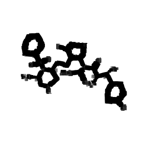 COC(=O)N(C(=O)[C@@H](N)[C@@H](c1ccc(Cl)cc1)C(C)C)c1cncc(F)c1CC[C@H]1CNC[C@@H](C)N1S(=O)(=O)c1ccccc1